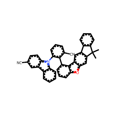 CC1(C)c2ccccc2-c2cc3c(cc21)oc1cccc(-c2c(C#N)cccc2-n2c4ccccc4c4cc(C#N)ccc42)c13